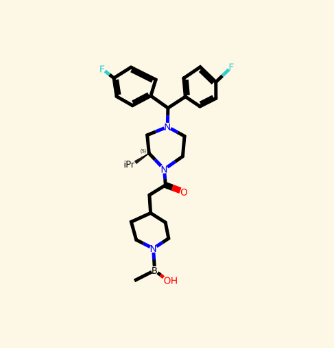 CB(O)N1CCC(CC(=O)N2CCN(C(c3ccc(F)cc3)c3ccc(F)cc3)C[C@@H]2C(C)C)CC1